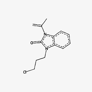 C=C(C)n1c(=O)n(CCCCl)c2ccccc21